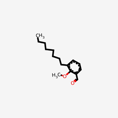 CCCCCCCCc1cccc(C=O)c1OC